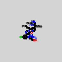 CN/C(=C(\C=N)NC=O)c1ccnc(C(CCCC(C)C)n2cnc(-c3cc(Cl)ccc3N(N)/C=C(\N)CO)cc2=O)c1